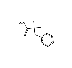 COC(=O)C(C)(I)Cc1ccccc1